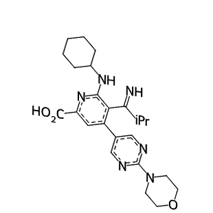 CC(C)C(=N)c1c(-c2cnc(N3CCOCC3)nc2)cc(C(=O)O)nc1NC1CCCCC1